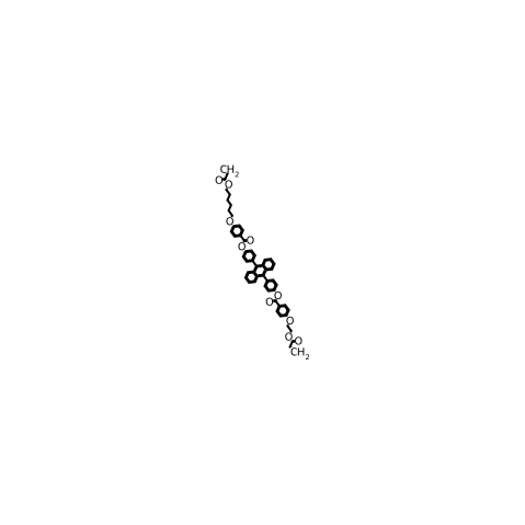 C=CC(=O)OCCCCCCOc1ccc(C(=O)Oc2ccc(-c3c4ccccc4c(-c4ccc(OC(=O)c5ccc(OCCOC(=O)C=C)cc5)cc4)c4ccccc34)cc2)cc1